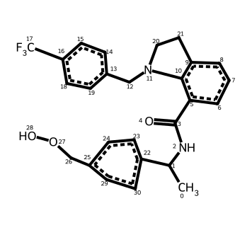 CC(NC(=O)c1cccc2c1N(Cc1ccc(C(F)(F)F)cc1)CC2)c1ccc(COO)cc1